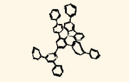 C1=CCC(c2cc(-c3ccccc3)nc(-c3cc(-c4ccc(-c5ccccc5)cc4)c(-n4c5ccccc5c5cc(-c6ccccc6)ccc54)c(-c4ccc(-c5ccccc5)cc4)c3)n2)C=C1